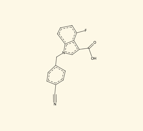 N#Cc1ccc(Cn2cc(C(=O)O)c3c(F)cccc32)cc1